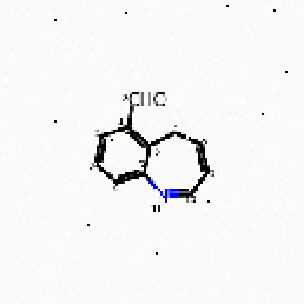 O=Cc1cccc2c1CC=CC=N2